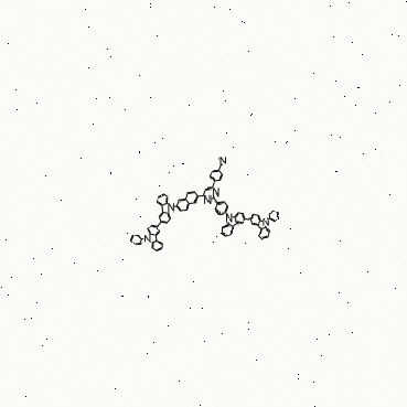 N#Cc1ccc(-c2cc(-c3ccc4cc(-n5c6ccccc6c6cc(-c7ccc8c(c7)c7ccccc7n8-c7ccccc7)ccc65)ccc4c3)nc(-c3ccc(-n4c5ccccc5c5cc(-c6ccc7c(c6)c6ccccc6n7-c6ccccc6)ccc54)cc3)n2)cc1